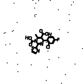 CC1=C(C(=O)O)C(c2ccc(F)cc2Cl)N=C(c2nccs2)N1C(=O)O